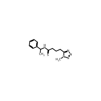 CC(NC(=S)CCCc1nnnn1C)c1ccccc1